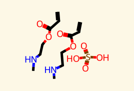 C=CC(=O)OCCNC.C=CC(=O)OCCNC.O=S(=O)(O)O